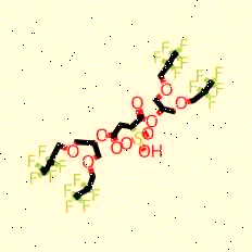 O=C(CC(C(=O)OC(COCC(F)(F)C(F)(F)F)COCC(F)(F)C(F)(F)F)S(=O)(=O)O)OC(COCC(F)(F)C(F)(F)F)COCC(F)(F)C(F)(F)F